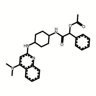 CC(=O)OC(C(=O)NC1CCC(Nc2cc(N(C)C)c3ccccc3n2)CC1)c1ccccc1